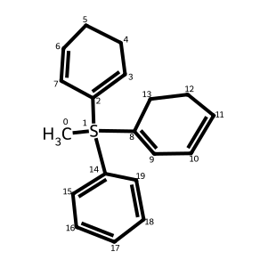 CS(C1=CCCC=C1)(C1=CC=CCC1)c1ccccc1